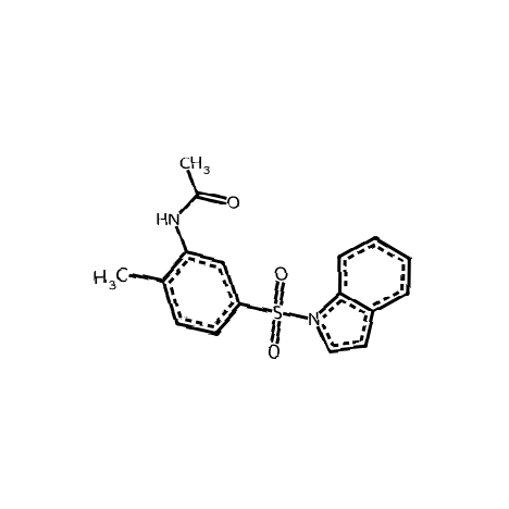 CC(=O)Nc1cc(S(=O)(=O)n2ccc3ccccc32)ccc1C